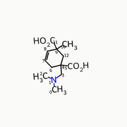 CN(C)CC1(C(=O)O)CC=CC(C)(C(=O)O)C1